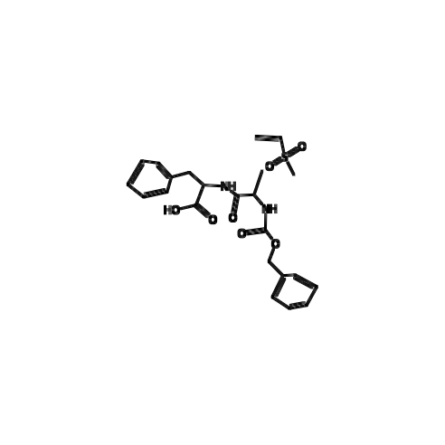 C=CS(C)(=O)=O.CC(NC(=O)OCc1ccccc1)C(=O)NC(Cc1ccccc1)C(=O)O